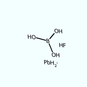 F.OB(O)O.[PbH2]